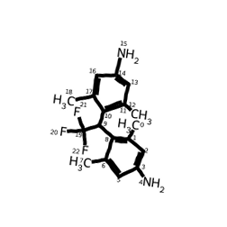 Cc1cc(N)cc(C)c1C(c1c(C)cc(N)cc1C)C(F)(F)F